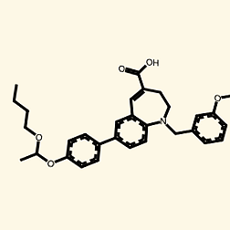 CCCCOC(C)Oc1ccc(-c2ccc3c(c2)C=C(C(=O)O)CCN3Cc2cccc(OC)c2)cc1